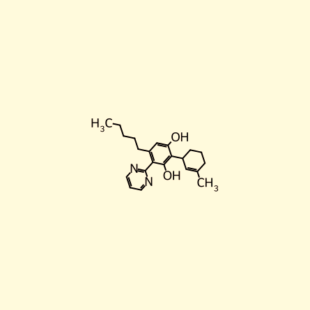 CCCCCc1cc(O)c(C2C=C(C)CCC2)c(O)c1-c1ncccn1